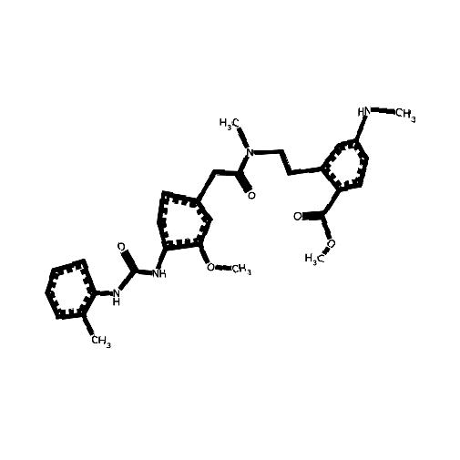 CNc1ccc(C(=O)OC)c(CCN(C)C(=O)Cc2ccc(NC(=O)Nc3ccccc3C)c(OC)c2)c1